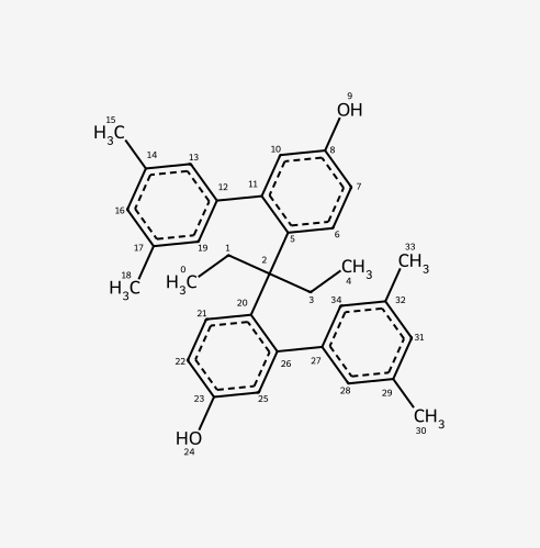 CCC(CC)(c1ccc(O)cc1-c1cc(C)cc(C)c1)c1ccc(O)cc1-c1cc(C)cc(C)c1